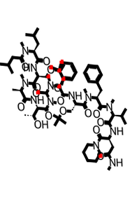 CNC(=O)C[C@H](NC(=O)[C@H](C(C)C)N(C)C(=O)[C@H](Cc1ccccc1)N(C)C(=O)[C@H](COC(C)(C)C)NC(=O)[C@H](CC(C)C)N(C)C(C=O)N(C)C(=O)[C@@H](NC(=O)[C@@H](C)N(C)C(=O)[C@H](COc1ccccc1Cl)NC(=O)[C@H](CC(C)C)N(C)C(=O)CC(C)C)[C@@H](C)O)C(=O)N1CCCCC1